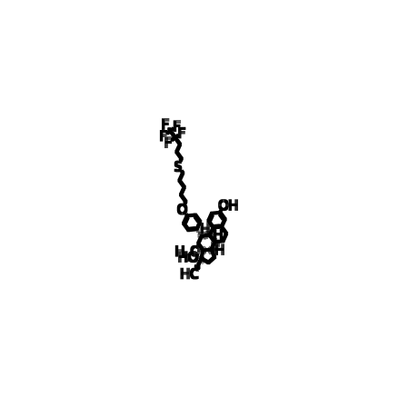 C#C[C@]1(O)CC[C@H]2[C@@H]3CCc4cc(O)ccc4[C@H]3[C@@H](c3ccc(OCCCCCSCCCC(F)(F)C(F)(F)F)cc3)C[C@@]21C